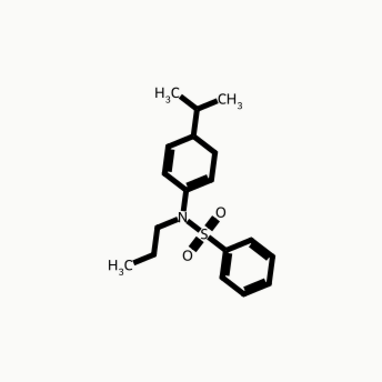 CCCN(C1=CCC(C(C)C)C=C1)S(=O)(=O)c1ccccc1